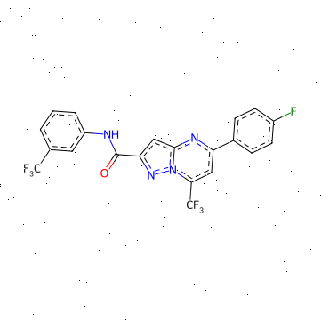 O=C(Nc1cccc(C(F)(F)F)c1)c1cc2nc(-c3ccc(F)cc3)cc(C(F)(F)F)n2n1